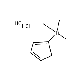 Cl.Cl.[CH3][Ti]([CH3])([CH3])[C]1=CC=CC1